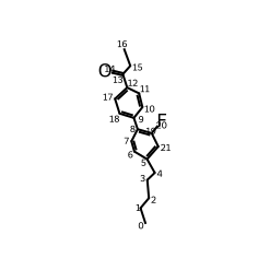 CCCCCc1ccc(-c2ccc(C(=O)CC)cc2)c(F)c1